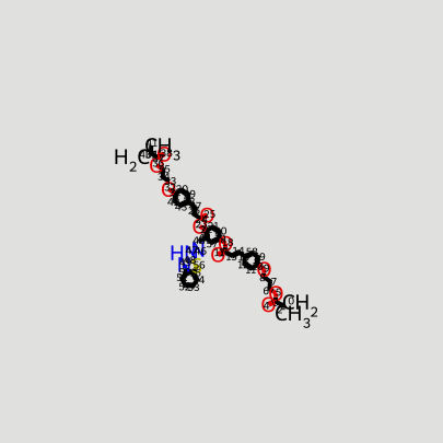 C=C(C)C(=O)OCCCOc1ccc(/C=C/C(=O)Oc2ccc(OC(=O)/C=C/c3ccc(OCCCOC(=O)C(=C)C)cc3)c(/C=N/Nc3nc4ccccc4s3)c2)cc1